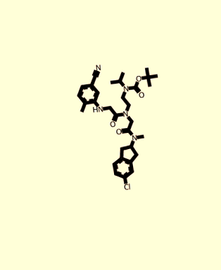 Cc1ccc(C#N)cc1NCC(=O)N(CCN(C(=O)OC(C)(C)C)C(C)C)CC(=O)N(C)C1Cc2ccc(Cl)cc2C1